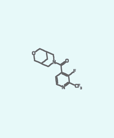 O=C(c1ccnc(C(F)(F)F)c1F)N1CC2COCC(C2)C1